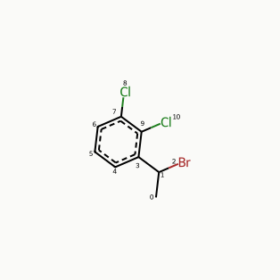 CC(Br)c1cccc(Cl)c1Cl